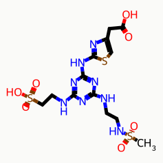 CS(=O)(=O)NCCNc1nc(NCCS(=O)(=O)O)nc(Nc2nc(CC(=O)O)cs2)n1